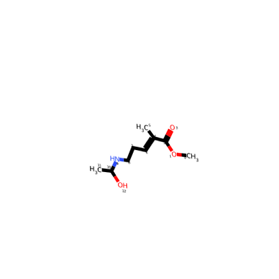 COC(=O)C(C)=CCCNC(C)O